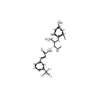 CN[C@H](CNC(=O)/C=C/c1cccc(C(F)(F)F)c1)C([SiH3])Cc1c(C)cc(O)cc1C